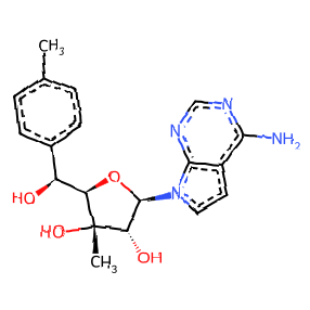 Cc1ccc([C@H](O)[C@H]2O[C@@H](n3ccc4c(N)ncnc43)[C@H](O)[C@]2(C)O)cc1